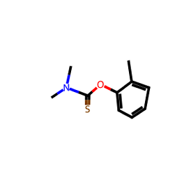 Cc1ccccc1OC(=S)N(C)C